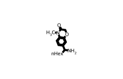 CCCCCCC(N)c1ccc2c(c1)OCC(=O)N2C